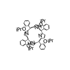 CC(C)Oc1ccccc1-c1c2nc(c(-c3ccccc3OC(C)C)c3ccc([nH]3)c(-c3ccccc3OC(C)C)c3nc(c(-c4ccccc4OC(C)C)c4ccc1[nH]4)C=C3)C=C2